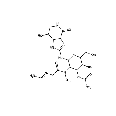 CN(C(=O)CN=CN)C1C(NC2=NC3C(=O)NCC(O)C3N2)OC(CO)C(O)C1OC(N)=O